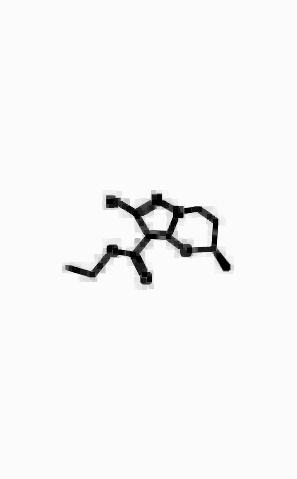 CCOC(=O)c1c(Br)nn2c1O[C@H](C)CC2